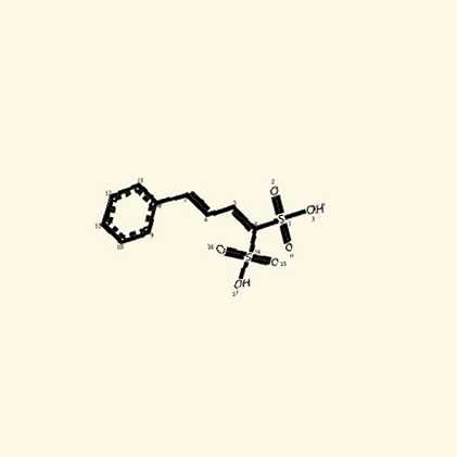 O=S(=O)(O)C(=CC=Cc1ccccc1)S(=O)(=O)O